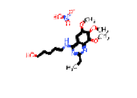 CCc1nc(NCCCCCO)c2cc(OC)c(OC)c(OC)c2n1.O=[N+]([O-])O